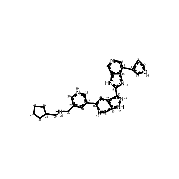 c1cc(-c2cncc3[nH]c(-c4n[nH]c5cnc(-c6cncc(CNCC7CCCC7)c6)cc45)nc23)co1